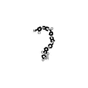 N#Cc1ccc(N2CCC3(CCN(C(=O)c4ccc(N5CC6CN(CC7CCN(c8ccc9c(c8)C(=O)N(C8CCC(=O)NC8=O)C9=O)CC7)CC6C5)cc4)CC3)C2)cc1Cl